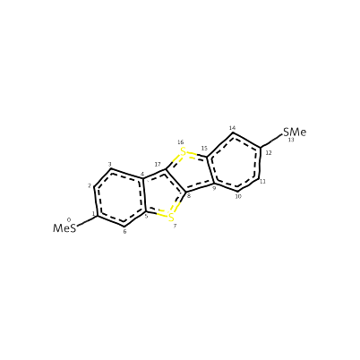 CSc1ccc2c(c1)sc1c3ccc(SC)cc3sc21